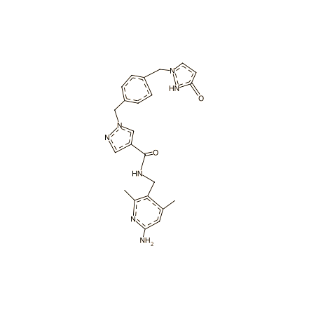 Cc1cc(N)nc(C)c1CNC(=O)c1cnn(Cc2ccc(Cn3ccc(=O)[nH]3)cc2)c1